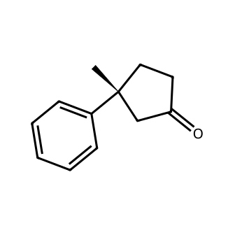 C[C@@]1(c2ccccc2)CCC(=O)C1